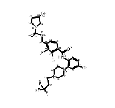 O=C(Nc1ccc(Cl)cc1N1CCN(CCC(F)(F)F)CC1)c1ccc(CNC(=O)N2CC[C@@H](O)C2)c(F)c1F